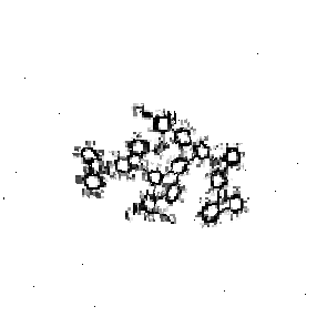 [C-]#[N+]c1cnc(-c2cccc(-c3cc(-c4cccc(-n5c6ccccc6c6cc(-n7c8ccccc8c8ccccc87)ccc65)c4)c(-c4cccc(-c5ncc(C#N)cc5[N+]#[C-])c4)cc3-c3cccc(-n4c5ccccc5c5cc(-n6c7ccccc7c7ccccc76)ccc54)c3)c2)c(C#N)c1